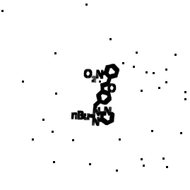 CCCCc1nc2cccnc2n1Cc1ccc2oc(-c3ccccc3[N+](=O)[O-])cc2c1